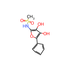 CS(=O)(=O)Nc1oc(-c2ccccc2)c(O)c1O